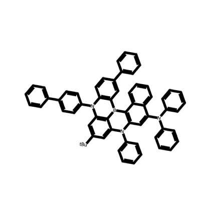 CC(C)(C)c1cc2c3c(c1)N(c1ccccc1)c1cc(N(c4ccccc4)c4ccccc4)c4ccccc4c1B3c1cc(-c3ccccc3)ccc1N2c1ccc(-c2ccccc2)cc1